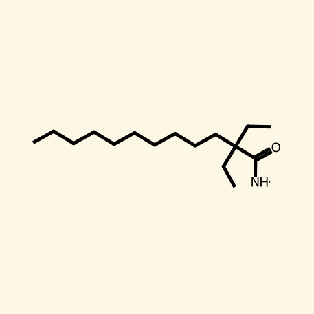 CCCCCCCCCCC(CC)(CC)C([NH])=O